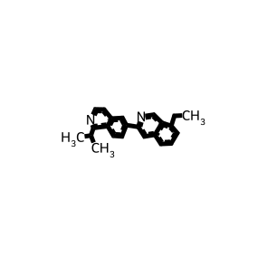 CCc1cccc2cc(-c3ccc4c(C(C)C)nccc4c3)ncc12